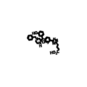 C[C@]1([C@H](c2ccc(-c3nnn(CCCC(=O)O)n3)cc2)c2cccc(O)c2)CN(Cc2ccccc2)CCN1